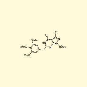 CCCCCCCCCCn1nc(CC)c2c(=O)[nH]c(Cc3cc(OC)c(OC)c(OC)c3)nc21